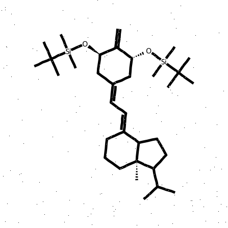 C=C1[C@H](O[Si](C)(C)C(C)(C)C)CC(=C/C=C2\CCC[C@@]3(C)C2CCC3C(C)C)C[C@H]1O[Si](C)(C)C(C)(C)C